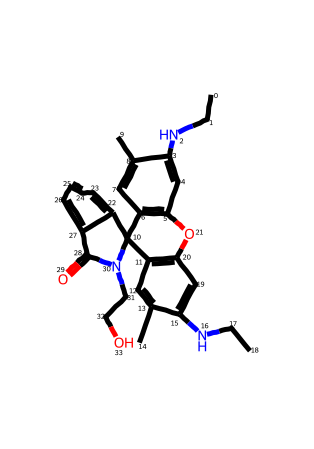 CCNc1cc2c(cc1C)C1(c3cc(C)c(NCC)cc3O2)c2ccccc2C(=O)N1CCO